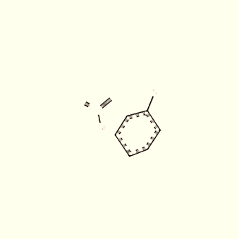 N[SH](=O)=O.Nc1ccccc1